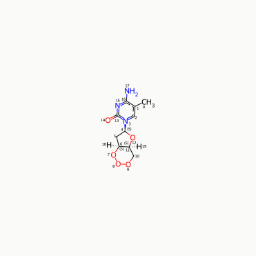 Cc1cn([C@@H]2C[C@@H]3OOOC[C@@H]3O2)c(=O)nc1N